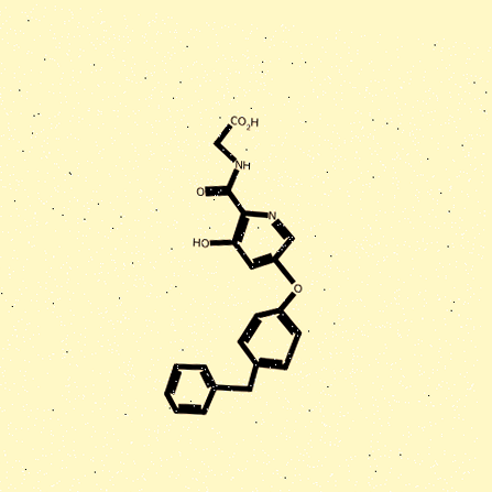 O=C(O)CNC(=O)c1ncc(Oc2ccc(Cc3ccccc3)cc2)cc1O